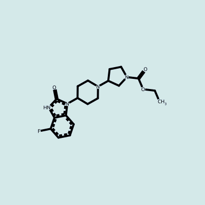 CCOC(=O)N1CCC(N2CCC(n3c(=O)[nH]c4c(F)cccc43)CC2)C1